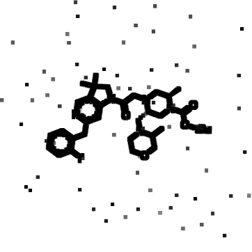 CC1COCCN1C[C@H]1CN(C(=O)OC(C)(C)C)[C@H](C)CN1CC(=O)N1CC(C)(C)c2cnc(Cc3ccccc3F)cc21